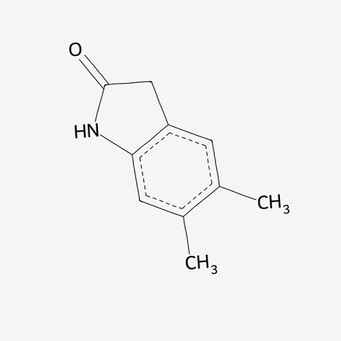 Cc1cc2c(cc1C)NC(=O)C2